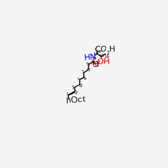 CCCCCCCCC=CCCCCCCCC(=O)NC(C(=O)O)C(C)O